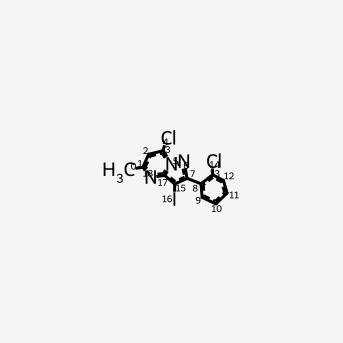 Cc1cc(Cl)n2nc(-c3ccccc3Cl)c(I)c2n1